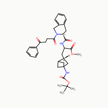 COC(=O)C(C[C@@H]1CC2(NC(=O)OC(C)(C)C)CC1C2)NC(=O)[C@@H]1Cc2ccccc2CN1C(=O)CCC(=O)c1ccccc1